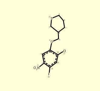 O=[N+]([O-])c1cc(OCC2CCCSC2)c(Cl)cc1F